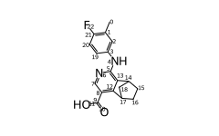 Cc1cc(Nc2ncc(C(=O)O)c3c2C2CCC3C2)ccc1F